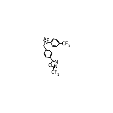 CC(=O)N(Cc1ccc(-c2nnc(C(F)(F)F)o2)cc1)c1ccc(C(F)(F)F)cc1